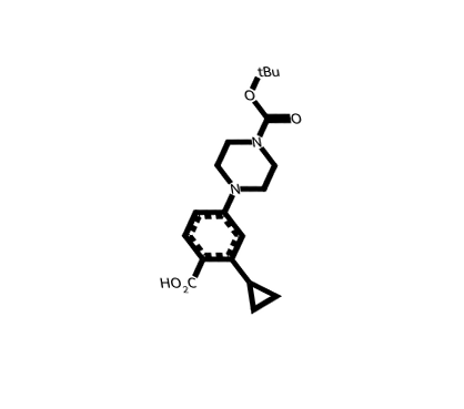 CC(C)(C)OC(=O)N1CCN(c2ccc(C(=O)O)c(C3CC3)c2)CC1